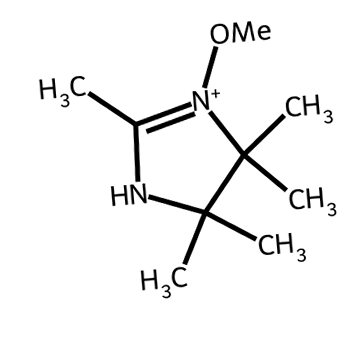 CO[N+]1=C(C)NC(C)(C)C1(C)C